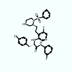 O=C(Nc1cccc(F)c1)[C@H](Cc1ccc(Cl)cc1)Nc1cncc(F)c1CC[C@H]1CNCCN1S(=O)(=O)c1ccccc1